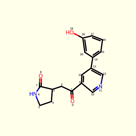 O=C(CC1CCNC1=O)c1cncc(-c2cccc(O)c2)c1